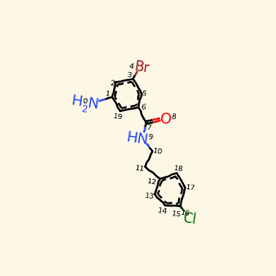 Nc1cc(Br)cc(C(=O)NCCc2ccc(Cl)cc2)c1